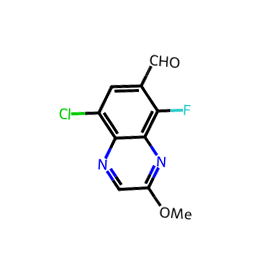 COc1cnc2c(Cl)cc(C=O)c(F)c2n1